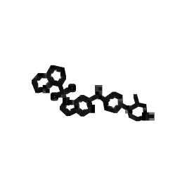 CC1CNCCN1c1ccc(Nc2cc3c(ccn3S(=O)(=O)c3cccc4cccnc34)cn2)cc1